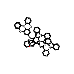 c1ccc(-c2nc(-c3ccccc3-n3c4ccccc4c4ccccc43)nc(-c3ccccc3-n3c4ccccc4c4c3ccc3c5ccccc5n(-c5cc6c7c(c5)Oc5ccccc5B7c5ccccc5O6)c34)n2)cc1